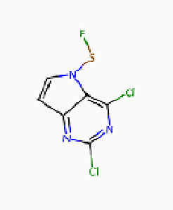 FSn1ccc2nc(Cl)nc(Cl)c21